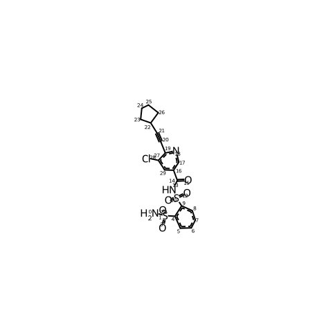 NS(=O)(=O)c1ccccc1S(=O)(=O)NC(=O)c1cnc(C#CC2CCCC2)c(Cl)c1